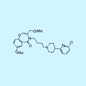 COCC1=COc2ccc(OC)cc2C(=O)N1CCCCN1CCC(c2cccc(Cl)n2)CC1